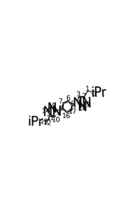 CC(C)Cc1cn(-c2ccc(-n3cc(CC(C)C)nn3)cc2)nn1